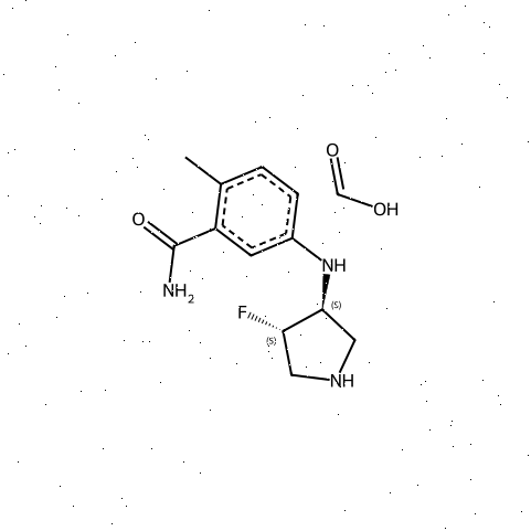 Cc1ccc(N[C@H]2CNC[C@@H]2F)cc1C(N)=O.O=CO